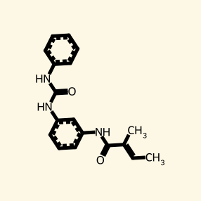 C/C=C(\C)C(=O)Nc1cccc(NC(=O)Nc2ccccc2)c1